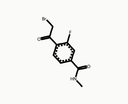 CNC(=O)c1ccc(C(=O)CBr)c(F)c1